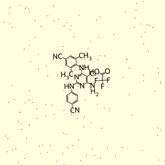 Cc1cc(C#N)cc(C)c1Nc1nc(Nc2ccc(C#N)cc2)nc(N)c1Cl.O=C(O)C(F)(F)F